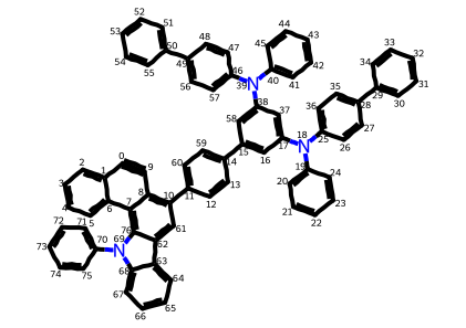 c1c2ccccc2c2c(c#1)c(-c1ccc(-c3cc(N(c4ccccc4)c4ccc(-c5ccccc5)cc4)cc(N(c4ccccc4)c4ccc(-c5ccccc5)cc4)c3)cc1)cc1c3ccccc3n(-c3ccccc3)c12